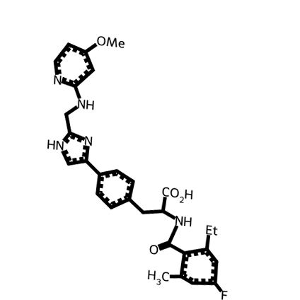 CCc1cc(F)cc(C)c1C(=O)NC(Cc1ccc(-c2c[nH]c(CNc3cc(OC)ccn3)n2)cc1)C(=O)O